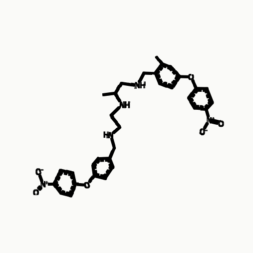 Cc1cc(Oc2ccc([N+](=O)[O-])cc2)ccc1CNCC(C)NCCNCc1ccc(Oc2ccc([N+](=O)[O-])cc2)cc1